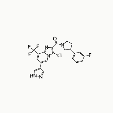 O=C(c1nc2c(C(F)(F)F)cc(-c3cn[nH]c3)cn2c1Cl)N1CCC(c2cccc(F)c2)C1